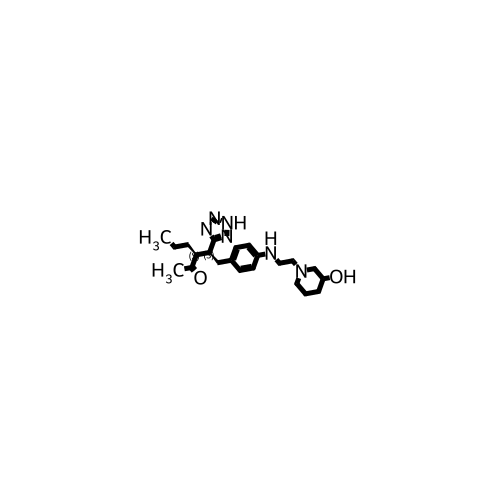 CCC[C@H](C(C)=O)[C@H](Cc1ccc(NCCN2CCCC(O)C2)cc1)c1nn[nH]n1